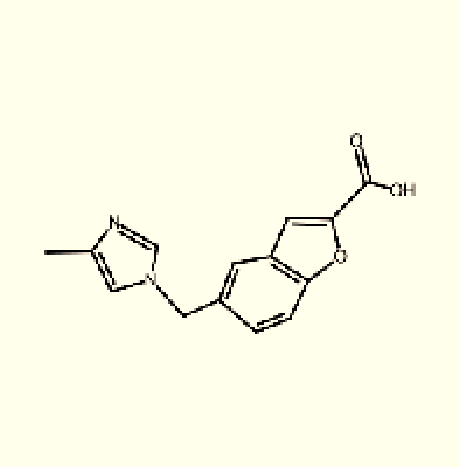 Cc1cn(Cc2ccc3oc(C(=O)O)cc3c2)cn1